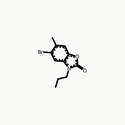 CCCn1c(=O)oc2cc(C)c(Br)cc21